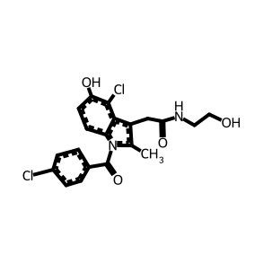 Cc1c(CC(=O)NCCO)c2c(Cl)c(O)ccc2n1C(=O)c1ccc(Cl)cc1